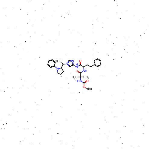 CC(C)(C)OC(=O)NC(C)(C)C(=O)N[C@H](CCc1ccccc1)C(=O)Nc1cn(C(C=O)C2CCCN2c2ccccc2)cn1